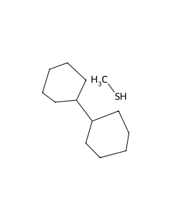 C1CCC(C2CCCCC2)CC1.CS